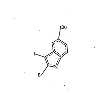 CC(C)(C)c1ccc2sc(Br)c(I)c2c1